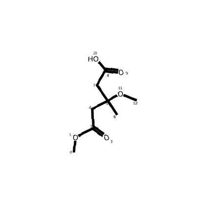 COC(=O)CC(C)(CC(=O)O)OC